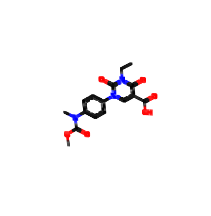 CCn1c(=O)c(C(=O)O)cn(-c2ccc(N(C)C(=O)OC)cc2)c1=O